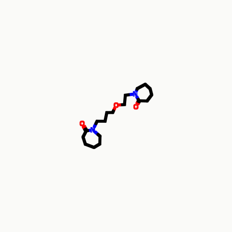 O=C1CCCCCN1CCCCOCCN1CCCCCC1=O